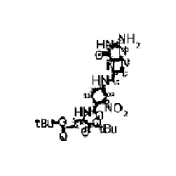 CC(C)(C)OC(=O)CCC(NC(=O)c1ccc(NCc2cnc3nc(N)[nH]c(=O)c3n2)cc1[N+](=O)[O-])C(=O)OC(C)(C)C